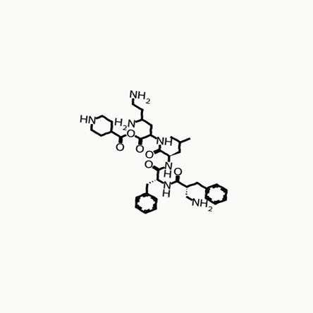 CC(C)C[C@@H](NC(=O)[C@@H](Cc1ccccc1)NC(=O)[C@@H](CN)Cc1ccccc1)C(=O)NC(CC(N)CCN)C(=O)OC(=O)C1CCNCC1